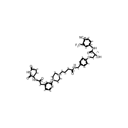 C[C@](O)(COc1ccc(CNC(=O)CCCN2CCN(c3cc(CC(=O)NC4CCC(=O)NC4=O)ccn3)CC2)cc1)C(=O)Nc1ccc(C#N)c(C(F)(F)F)c1